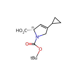 CC(C)(C)OC(=O)N1CC(C2CC2)=C[C@H]1C(=O)O